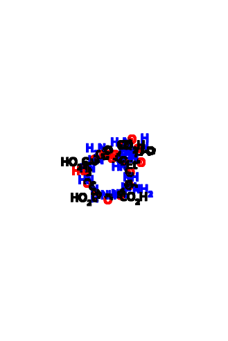 CCC(=O)N[C@@H](Cc1c[nH]c2ccccc12)C(=O)N[C@H](CC(N)=O)C(=O)N[C@@H](CC(=O)O)C(=O)N[C@@H]1C(=O)NCC(=O)N[C@@H](CCCN)C(=O)N[C@@H](CC(=O)O)C(=O)N[C@H](C)C(=O)N[C@@H](CC(=O)O)C(=O)NCC(=O)N[C@H](CO)C(=O)N[C@@H](C(C)CC(=O)O)C(=O)NC(C(=O)c2ccccc2N)C(=O)O[C@@H]1C